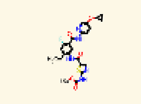 C=Cc1cc(F)c(C(=O)Nc2ccc(OC3CC3)cn2)cc1NC(=O)c1cnc(NC(=O)OC(C)(C)C)s1